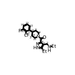 CCNCc1c(C(=O)N2CCC(c3cccc(F)c3C(F)(F)F)CC2)n[nH]c1CC